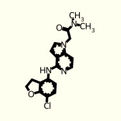 CN(C)C(=O)Cn1ccc2c(Nc3ccc(Cl)c4c3CCO4)nccc21